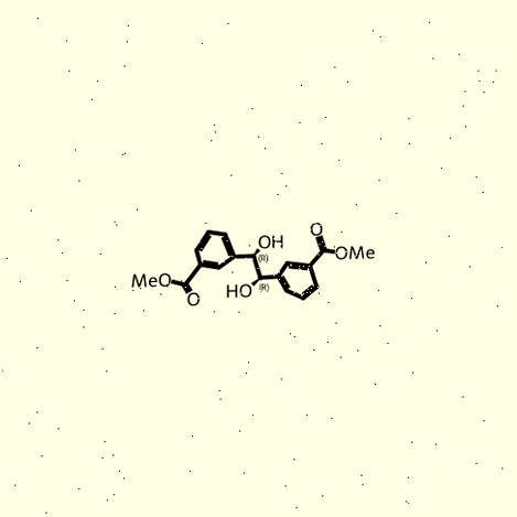 COC(=O)c1cccc([C@@H](O)[C@H](O)c2cccc(C(=O)OC)c2)c1